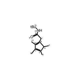 CC1=C(C)C(C)C(CC(=O)NC(C)(C)C)=C1C